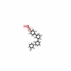 Cc1cccc(-c2cccc(-c3cccc(-c4ccc(OBO)cc4)c3)c2)c1